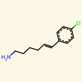 NCCCCC=Cc1ccc(Cl)cc1